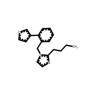 CCCCc1nccn1Cc1ccccc1-c1ccoc1